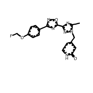 Cc1nc(-c2nc(-c3ccc(OCF)cc3)no2)nn1Cc1cc[nH]c(=O)c1